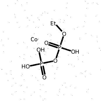 CCOP(=O)(O)OP(=O)(O)O.[Co]